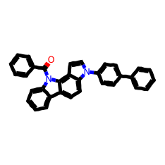 O=C(c1ccccc1)n1c2ccccc2c2ccc3c(ccn3-c3ccc(-c4ccccc4)cc3)c21